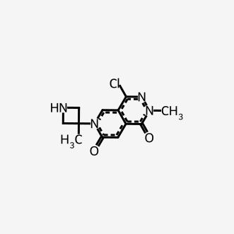 Cn1nc(Cl)c2cn(C3(C)CNC3)c(=O)cc2c1=O